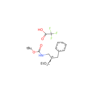 CCOC(=O)[C@@H](CNC(=O)OC(C)(C)C)Cc1ccccc1.O=C(O)C(F)(F)F